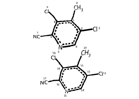 Cc1c(Cl)cnc(C#N)c1Cl.Cc1c(Cl)cnc(C#N)c1Cl